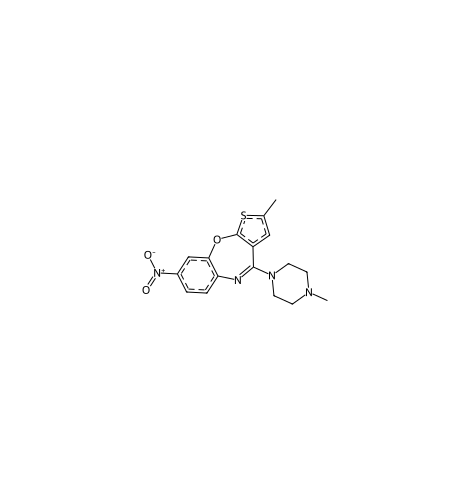 Cc1cc2c(s1)Oc1cc([N+](=O)[O-])ccc1N=C2N1CCN(C)CC1